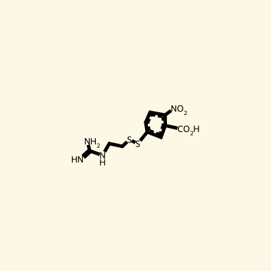 N=C(N)NCCSSc1ccc([N+](=O)[O-])c(C(=O)O)c1